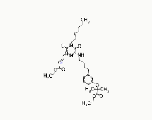 CCCCCCCn1c(=O)c(NCCCCc2cccc(OC(C)(C)C(=O)OCC)c2)nn(C/C=C/C(=O)OCC)c1=O